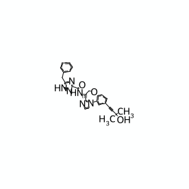 CC(C)(O)C#Cc1ccc2c(c1)-n1ccnc1[C@H](NC(=O)c1n[nH]c(Cc3ccccc3)n1)CO2